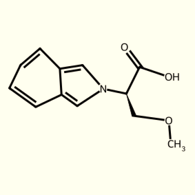 COC[C@H](C(=O)O)n1cc2ccccc2c1